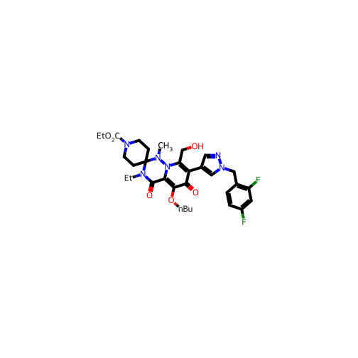 CCCCOc1c2n(c(CO)c(-c3cnn(Cc4ccc(F)cc4F)c3)c1=O)N(C)C1(CCN(C(=O)OCC)CC1)N(CC)C2=O